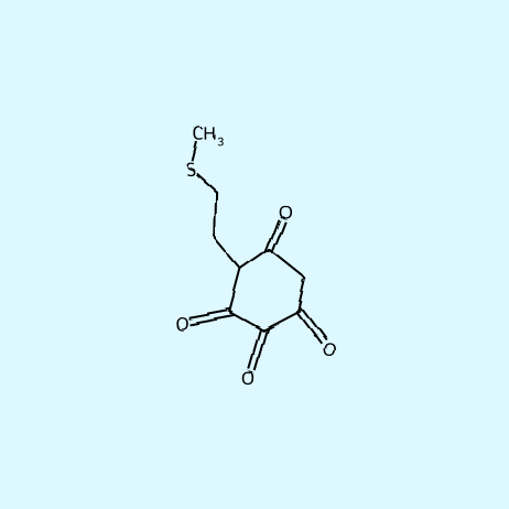 CSCCC1C(=O)CC(=O)C(=O)C1=O